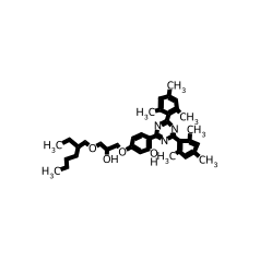 CCCCC(CC)COCC(O)COc1ccc(-c2nc(-c3c(C)cc(C)cc3C)nc(-c3c(C)cc(C)cc3C)n2)c(O)c1